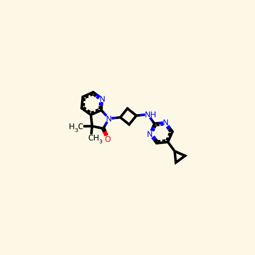 CC1(C)C(=O)N(C2CC(Nc3ncc(C4CC4)cn3)C2)c2ncccc21